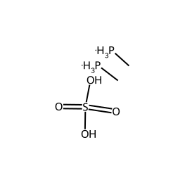 C[PH3].C[PH3].O=S(=O)(O)O